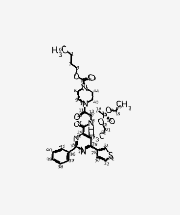 CCCCOC(=O)N1CCN(C(=O)[C@H](CP(=O)(OCC)OCC)NC(=O)c2cc(-c3ccsc3)nc(-c3ccccc3)n2)CC1